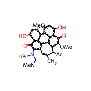 CCCN(CNC)c1c2c3c4c(c(OC)c(=O)c5c(O)cc(OC)c(c6c(OC)cc(O)c(c1=O)c63)c54)C(C(C)=O)C(C)=C2